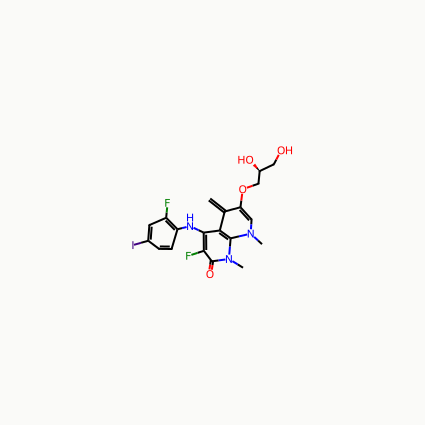 C=C1C(OC[C@@H](O)CO)=CN(C)c2c1c(Nc1ccc(I)cc1F)c(F)c(=O)n2C